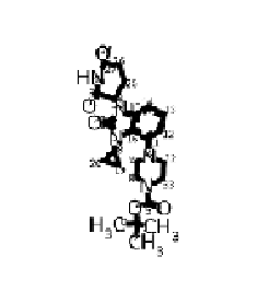 CC(C)(C)OC(=O)N1CCN(c2cccc3c2n(C2CC2)c(=O)n3C2CCC(=O)NC2=O)CC1